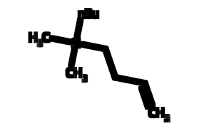 C=CCC[Si](C)(C)CCCC